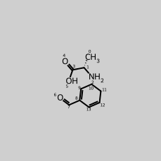 C[C@H](N)C(=O)O.O=CC1=CCCC=C1